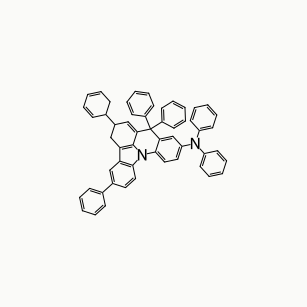 C1=CCC(C2C=C3c4c(c5cc(-c6ccccc6)ccc5n4-c4ccc(N(c5ccccc5)c5ccccc5)cc4C3(c3ccccc3)c3ccccc3)C2)C=C1